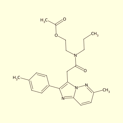 CCCN(CCOC(C)=O)C(=O)Cc1c(-c2ccc(C)cc2)nc2ccc(C)nn12